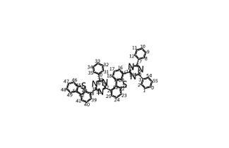 c1ccc(-c2nc(-c3ccccc3)nc(-c3cccc4c3sc3cccc(-c5nc(-c6ccccc6)nc(-c6cccc7c6sc6ccccc67)n5)c34)n2)cc1